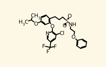 CC(C)Oc1ccc(CCCS(=O)(=O)NCCOc2ccccc2)c(Oc2ncc(C(F)(F)F)cc2Cl)c1